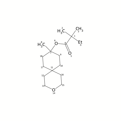 CCC(C)(C)C(=O)OC1(C)CCC2(CCOCC2)CC1